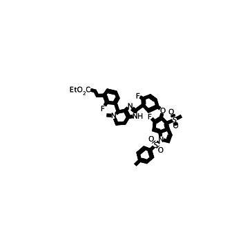 CCOC(=O)CCc1cccc(C2c3nc(-c4cc(Oc5c(F)cc6c(ccn6S(=O)(=O)c6ccc(C)cc6)c5S(C)(=O)=O)ccc4F)[nH]c3CCN2C)c1F